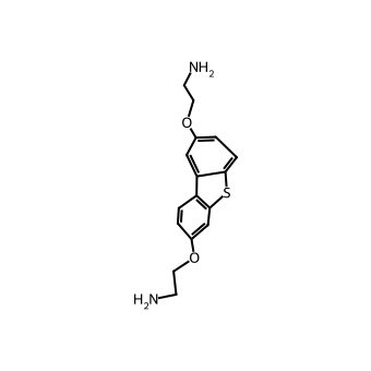 NCCOc1ccc2c(c1)sc1ccc(OCCN)cc12